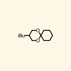 CCC(C)C1COC2(CCCCC2)OC1